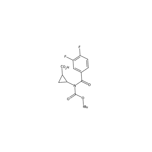 CC(C)(C)OC(=O)N(C(=O)c1ccc(F)c(F)c1)C1CC1C(=O)O